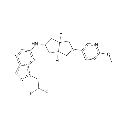 COc1cnc(N2C[C@H]3C[C@H](Nc4cnc5cnn(CC(F)F)c5n4)C[C@H]3C2)cn1